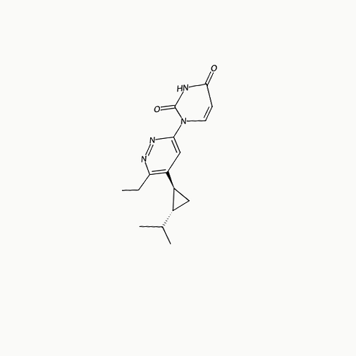 CCc1nnc(-n2ccc(=O)[nH]c2=O)cc1[C@H]1C[C@@H]1C(C)C